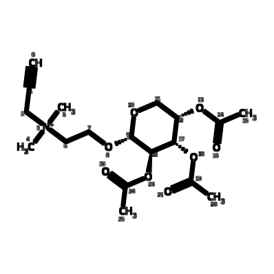 C#CC[N+](C)(C)CCO[C@@H]1OC[C@H](OC(C)=O)[C@H](OC(C)=O)[C@H]1OC(C)=O